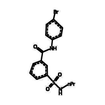 CCCNS(=O)(=O)c1cccc(C(=O)Nc2ccc(Br)cc2)c1